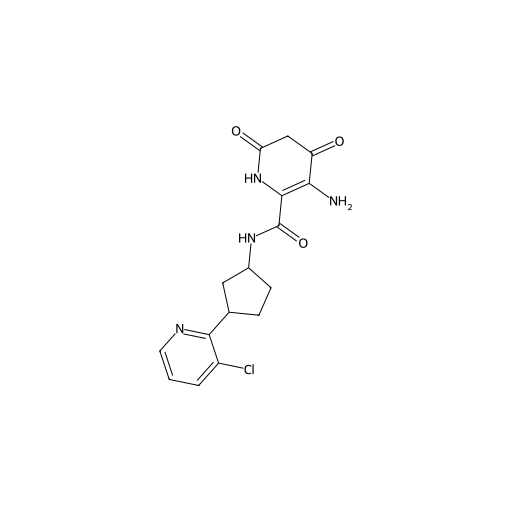 NC1=C(C(=O)NC2CCC(c3ncccc3Cl)C2)NC(=O)CC1=O